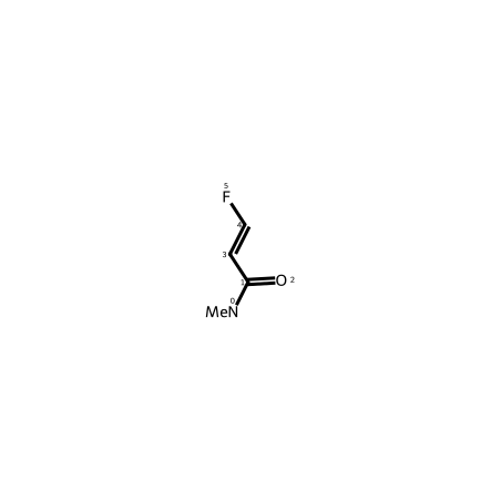 CNC(=O)/C=C/F